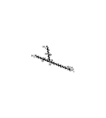 CC(C)NCCOCCOCCOCCOCCC(=O)NC(COCCC(=O)NCCOCCN)COCCC(=O)NCCOCCN